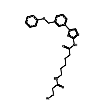 CC(=O)SCC(=O)NCCCCCC(=O)Nc1ncc(-c2cccc(COc3ccccc3)c2)s1